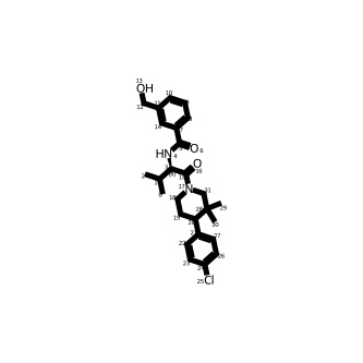 CC(C)[C@@H](NC(=O)c1cccc(CO)c1)C(=O)N1CCC(c2ccc(Cl)cc2)C(C)(C)C1